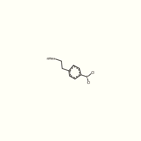 CCCCCCCCc1ccc(P(Cl)Cl)cc1